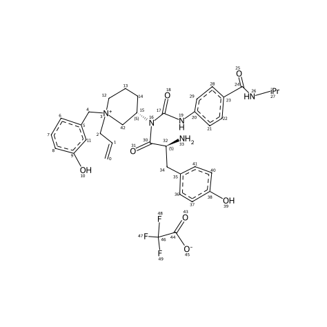 C=CC[N+]1(Cc2cccc(O)c2)CCC[C@H](N(C(=O)Nc2ccc(C(=O)NC(C)C)cc2)C(=O)[C@@H](N)Cc2ccc(O)cc2)C1.O=C([O-])C(F)(F)F